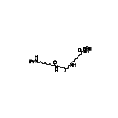 CCCCNC(=O)CCCCCCNCCC(C)CCCNC(=O)CCCCCCCNC(C)C